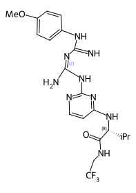 COc1ccc(NC(=N)/N=C(/N)Nc2nccc(N[C@@H](C(=O)NCC(F)(F)F)C(C)C)n2)cc1